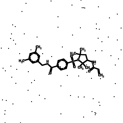 C=CC(=O)NC1CC(C)(C)N(S(=O)(=O)c2ccc(C(=O)NCc3cc(C)cc(C)c3)cc2)C1(C)C